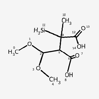 COC(OC)C(C(=O)O)C(C)([SiH3])C(=O)O